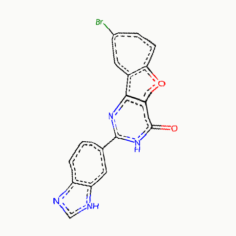 O=c1[nH]c(-c2ccc3nc[nH]c3c2)nc2c1oc1ccc(Br)cc12